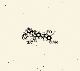 COc1ccc2c(c1)[C@]1(C[C@H]1c1ccc3c(Nc4ncnc(N5CCOCC5)c4Cl)nn(C(=O)OC(C)(C)C)c3c1)C(=O)N2C(=O)O